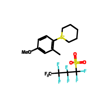 COc1ccc([S+]2CCCCC2)c(C)c1.O=S(=O)([O-])C(F)(F)C(F)(F)C(F)(F)C(F)(F)F